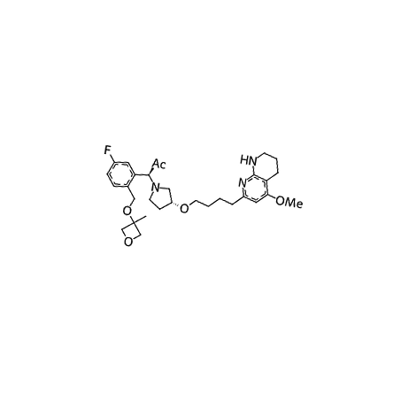 COc1cc(CCCCO[C@@H]2CCN([C@H](C(C)=O)c3cc(F)ccc3COC3(C)COC3)C2)nc2c1CCCN2